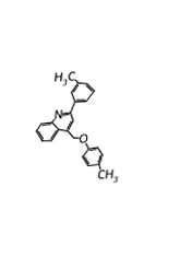 Cc1ccc(OCc2cc(-c3cccc(C)c3)nc3ccccc23)cc1